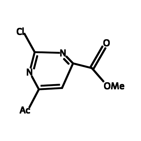 COC(=O)c1cc(C(C)=O)nc(Cl)n1